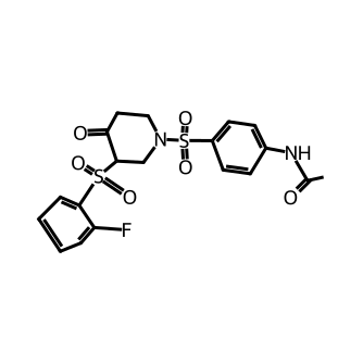 CC(=O)Nc1ccc(S(=O)(=O)N2CCC(=O)C(S(=O)(=O)c3ccccc3F)C2)cc1